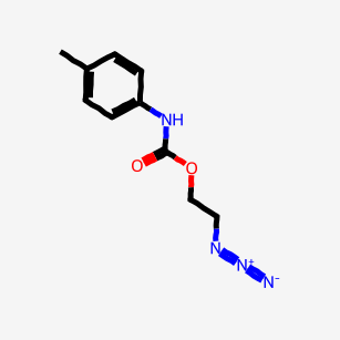 Cc1ccc(NC(=O)OCCN=[N+]=[N-])cc1